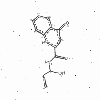 C=CC(O)NC(=O)c1cc(=O)c2ccccc2[nH]1